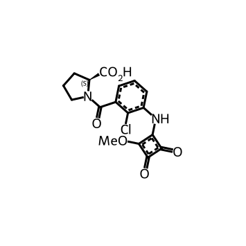 COc1c(Nc2cccc(C(=O)N3CCC[C@H]3C(=O)O)c2Cl)c(=O)c1=O